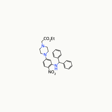 CCOC(=O)CN1CCN(c2ccc([N+](=O)[O-])c(NC(c3ccccc3)c3ccccc3)c2)CC1